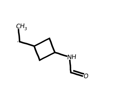 C[CH]C1CC(NC=O)C1